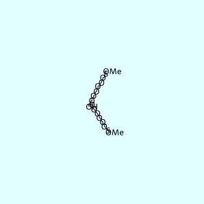 COSCCOCCOCCOCCOCCOCCOCC(CO)OCCOCCOCCOCCOCCOCCSOC